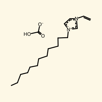 C=Cn1cc[n+](CCCCCCCCCCCC)c1.O=C([O-])O